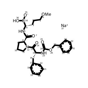 COCCC[C@H](NC(=O)[C@@H]1CCCN1C(=O)[C@@H](Cc1ccccc1)NC(=O)OCc1ccccc1)B([O-])O.[Na+]